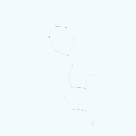 CCCC1CCC(CCC2CCC(C)CC2)C(=O)O1